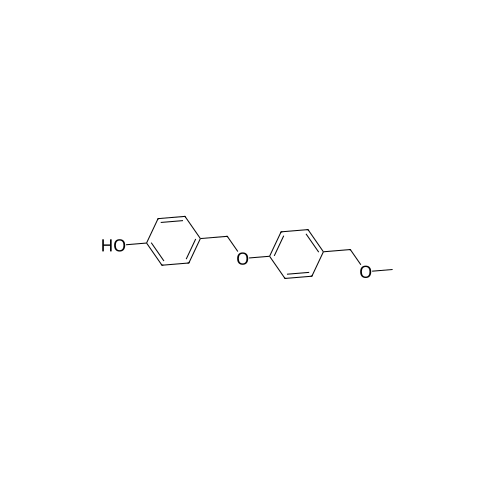 COCc1ccc(OCc2ccc(O)cc2)cc1